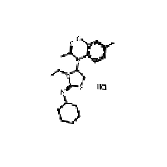 CCN1C(=NC2CCCCC2)SCC1N(C(C)=O)c1ccc(C)cc1Cl.Cl